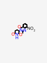 Cc1nc2c([N+](=O)[O-])cccc2c(=O)n1C1CCC(=O)NC1=O